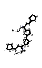 CC(=O)O/N=C(/CCC1CCCC1)c1ccc(-c2ccc(/C(CCC3CCCC3)=N/OC(C)=O)s2)s1